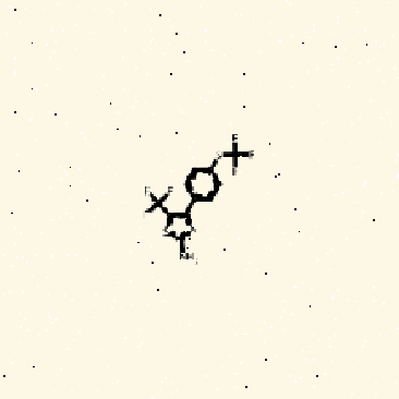 Nc1nc(-c2ccc(SC(F)(F)F)cc2)c(C(F)(F)F)s1